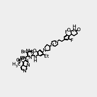 CCc1cc(Nc2ncc(Br)c(Nc3cnc4cnccc4c3P(C)(C)=O)n2)c(OC)cc1N1CCC(N2CCN(CCc3cc(F)c(C4CCC(=O)NC4=O)c(F)c3)CC2)CC1